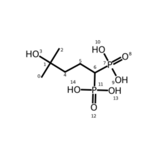 CC(C)(O)CCC(P(=O)(O)O)P(=O)(O)O